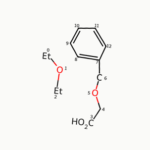 CCOCC.O=C(O)COCc1ccccc1